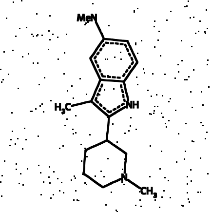 CNc1ccc2[nH]c(C3CCCN(C)C3)c(C)c2c1